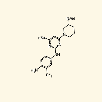 CCCCc1cc(N2CCC[C@@H](NC)C2)nc(Nc2ccc(N)c(C(F)(F)F)c2)n1